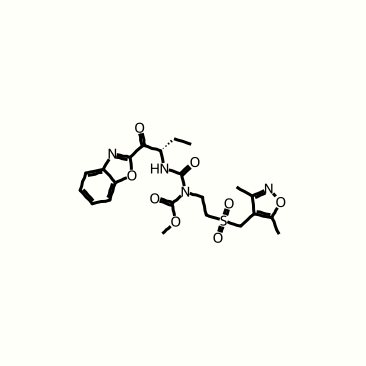 CC[C@H](NC(=O)N(CCS(=O)(=O)Cc1c(C)noc1C)C(=O)OC)C(=O)c1nc2ccccc2o1